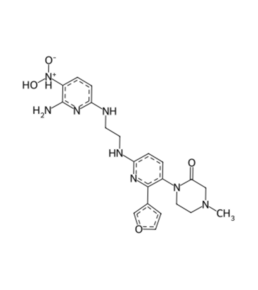 CN1CCN(c2ccc(NCCNc3ccc([NH+]([O-])O)c(N)n3)nc2-c2ccoc2)C(=O)C1